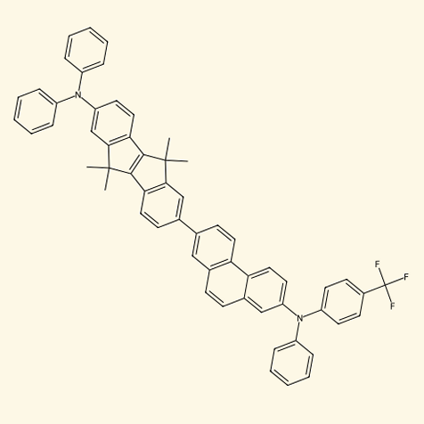 CC1(C)C2=C(c3ccc(-c4ccc5c(ccc6cc(N(c7ccccc7)c7ccc(C(F)(F)F)cc7)ccc65)c4)cc31)C(C)(C)c1cc(N(c3ccccc3)c3ccccc3)ccc12